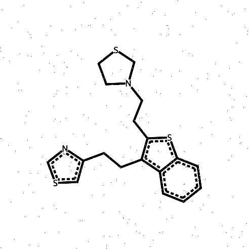 c1ccc2c(CCc3cscn3)c(CCN3CCSC3)sc2c1